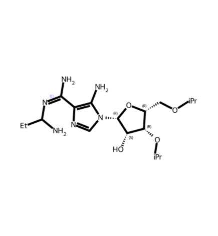 CCC(N)/N=C(/N)c1ncn([C@@H]2O[C@H](COC(C)C)[C@H](OC(C)C)[C@@H]2O)c1N